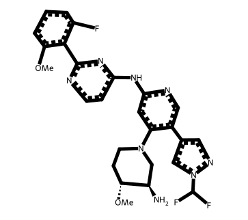 COc1cccc(F)c1-c1nccc(Nc2cc(N3CC[C@@H](OC)[C@H](N)C3)c(-c3cnn(C(F)F)c3)cn2)n1